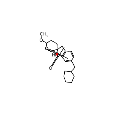 CO[C@H]1CC[C@]2(CC1)Cc1ccc(CC3CCCCC3)cc1C21NC(=O)NC1=O